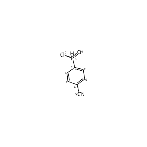 N#Cc1ccc([PH](=O)Cl)cc1